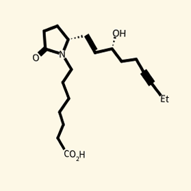 CCC#CCC[C@@H](O)/C=C/[C@H]1CCC(=O)N1CCCCCCC(=O)O